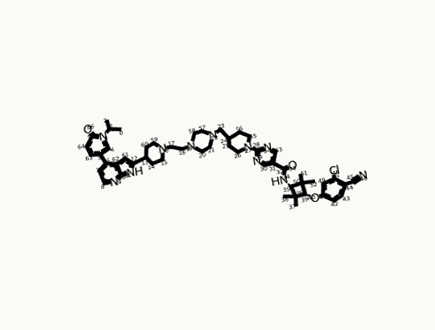 CC(C)n1cc(-c2ccnc3[nH]c(C4CCN(CCN5CCN(CC6CCN(c7ncc(C(=O)N[C@H]8C(C)(C)[C@H](Oc9ccc(C#N)c(Cl)c9)C8(C)C)cn7)CC6)CC5)CC4)cc23)ccc1=O